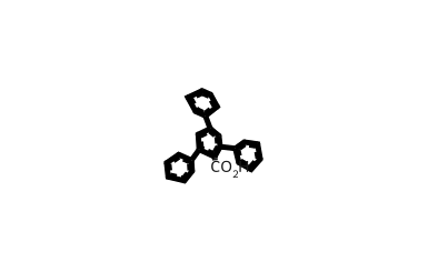 O=C(O)c1c(-c2ccccc2)cc(-c2ccccc2)cc1-c1ccccc1